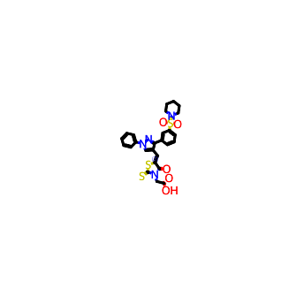 O=C(O)CN1C(=O)/C(=C/c2cn(-c3ccccc3)nc2-c2cccc(S(=O)(=O)N3CCCCC3)c2)SC1=S